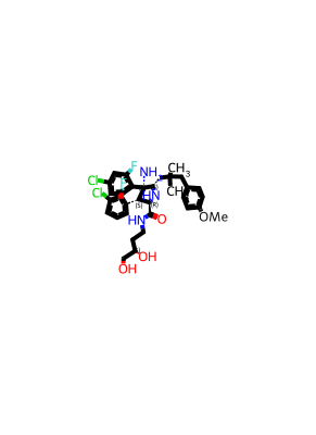 COc1ccc(CC(C)(C)C[C@@H]2N[C@@H](C(=O)NCC[C@H](O)CO)[C@H](c3cccc(Cl)c3F)[C@@]2(N)c2ccc(Cl)cc2F)cc1